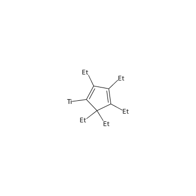 CCC1=[C]([Ti])C(CC)(CC)C(CC)=C1CC